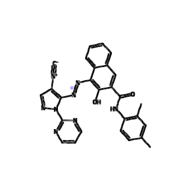 [C-]#[N+]c1cnn(-c2ncccn2)c1/N=N/c1c(O)c(C(=O)Nc2ccc(C)cc2C)cc2ccccc12